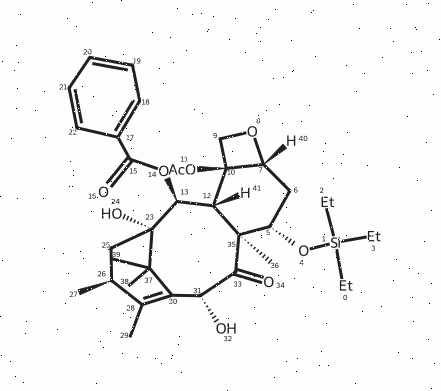 CC[Si](CC)(CC)O[C@H]1C[C@H]2OC[C@@]2(OC(C)=O)[C@H]2[C@H](OC(=O)c3ccccc3)[C@]3(O)C[C@H](C)C(C)=C([C@@H](O)C(=O)[C@]12C)C3(C)C